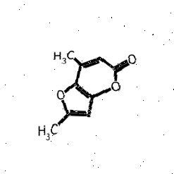 Cc1cc2oc(=O)cc(C)c2o1